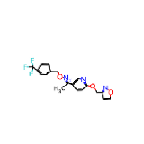 C/C(=N\OCc1ccc(C(F)(F)F)cc1)c1ccc(OCC2=NOCC2)nc1